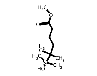 COC(=O)CCCC(C)(C)[Si](C)(C)O